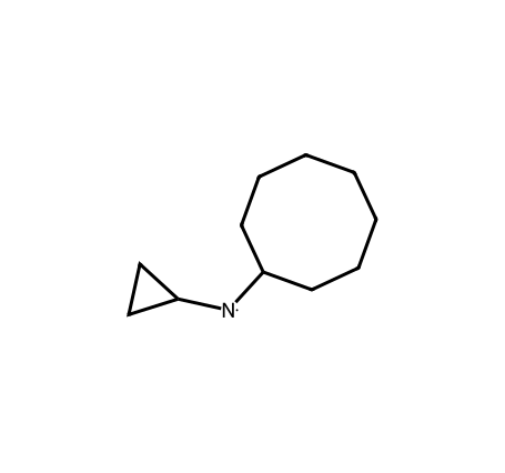 C1CCCC([N]C2CC2)CCC1